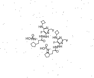 O=C(O)NC[C@@H](CC1CCCC1)C(=O)NNc1nc(CF)nc(NC2CCC2)c1F.O=C(O)NC[C@@H](CC1CCCC1)C(=O)NNc1nc(CF)nc(NC2CCC2)c1F